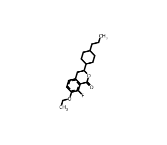 CCCC1CCC(C2Cc3ccc(OCC)c(F)c3C(=O)O2)CC1